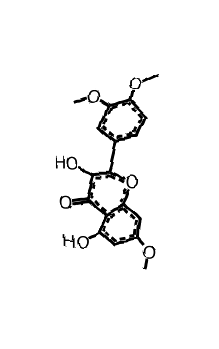 COc1cc(O)c2c(=O)c(O)c(-c3ccc(OC)c(OC)c3)oc2c1